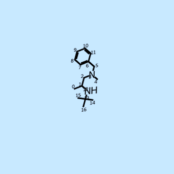 CC(CN(C)Cc1ccccc1)NC(C)(C)C